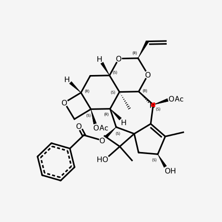 C=C[C@@H]1O[C@H]2C[C@H]3OC[C@@]3(OC(C)=O)[C@H]3[C@H](OC(=O)c4ccccc4)C4(C(C)(C)O)C[C@H](O)C(C)=C4[C@H](OC(C)=O)[C@H](O1)[C@]23C